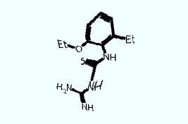 CCOc1cccc(CC)c1NC(=S)NC(=N)N